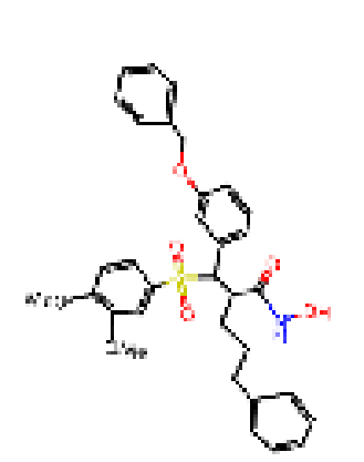 COc1ccc(S(=O)(=O)C(c2cccc(OCc3ccccc3)c2)C(CCCc2ccccc2)C(=O)NO)cc1OC